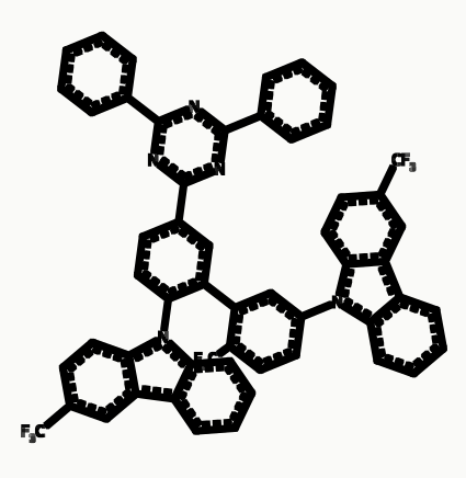 FC(F)(F)c1ccc2c(c1)c1ccccc1n2-c1ccc(C(F)(F)F)c(-c2cc(-c3nc(-c4ccccc4)nc(-c4ccccc4)n3)ccc2-n2c3ccccc3c3cc(C(F)(F)F)ccc32)c1